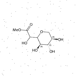 COC(=O)C(O)C1OC[C@@H](O)[C@H](O)[C@H]1O